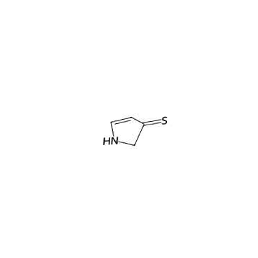 S=C1C=CNC1